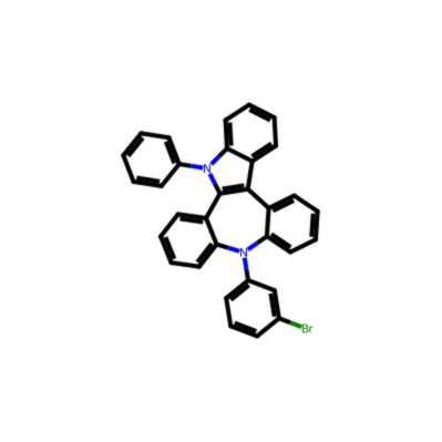 Brc1cccc(N2c3ccccc3-c3c(n(-c4ccccc4)c4ccccc34)-c3ccccc32)c1